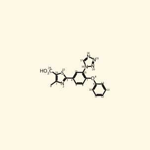 Cc1nc(-c2ccc(Oc3ccccc3)c(-n3cnnn3)c2)sc1C(=O)O